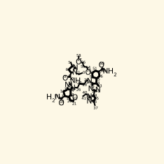 CCn1nc(C)cc1C(=O)Nc1nc2cc(C(N)=O)c3ccoc3c2n1CC=CCn1c2nc(-c3cc(C)nn3CC)ncc2c2cc(C(N)=O)cc(OCCCOC)c21